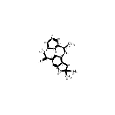 CC(Oc1cc(C(=O)O)cc2c1CC(C)(C)O2)c1cnccn1